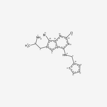 CC(N)Cc1sc2c(NCc3cccs3)nc(Cl)nc2c1Br